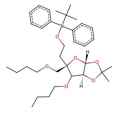 CCCCOC[C@@]1(CCO[Si](c2ccccc2)(c2ccccc2)C(C)(C)C)O[C@@H]2OC(C)(C)O[C@H]2C1OCCCC